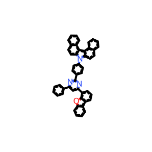 c1ccc(-c2cc(-c3cccc4c3oc3ccccc34)nc(-c3ccc(-n4c5ccc6ccccc6c5c5c6ccccc6ccc54)cc3)n2)cc1